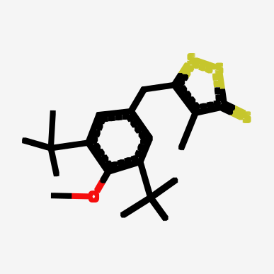 COc1c(C(C)(C)C)cc(Cc2ssc(=S)c2C)cc1C(C)(C)C